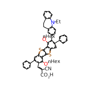 CCCCCCOc1c(/C=C(\C#N)C(=O)O)c(-c2ccccc2)cc2sc3c(sc4cc(-c5ccccc5)c(-c5ccc6c(c5)CCc5ccccc5N6CC)c(OCCCCCC)c43)c12